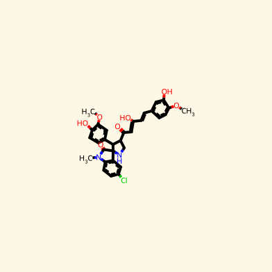 COc1ccc(C=CC(O)=CC(=O)C2CNC3(C(=O)N(C)c4ccc(Cl)cc43)C2c2ccc(O)c(OC)c2)cc1O